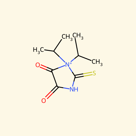 CC(C)[N+]1(C(C)C)C(=O)C(=O)NC1=S